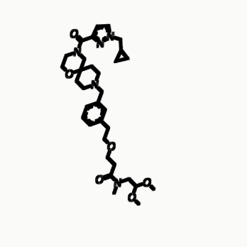 COC(CN(C)C(=O)CCOCCc1cccc(CN2CCC3(CC2)CN(C(=O)c2ccn(CC4CC4)n2)CCO3)c1)OC